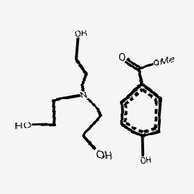 COC(=O)c1ccc(O)cc1.OCCN(CCO)CCO